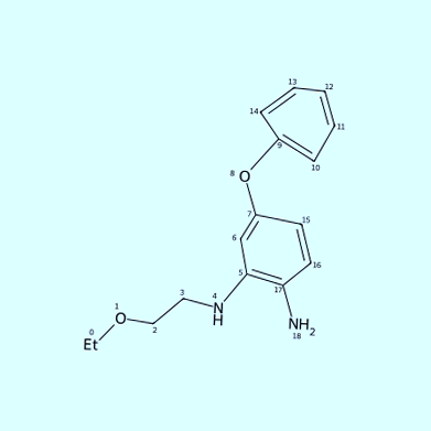 CCOCCNc1cc(Oc2ccccc2)ccc1N